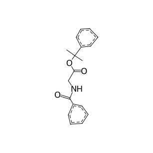 CC(C)(OC(=O)CNC(=O)c1ccccc1)c1ccccc1